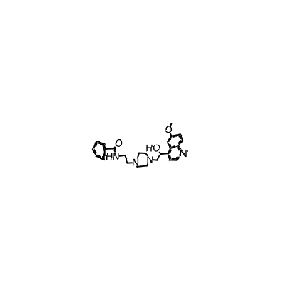 COc1ccc2nccc(C(O)CN3CCN(CCNC(=O)c4ccccc4)CC3)c2c1